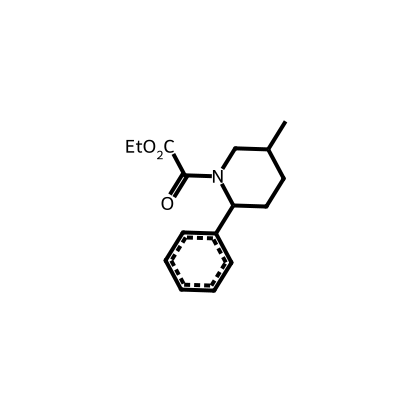 CCOC(=O)C(=O)N1CC(C)CCC1c1ccccc1